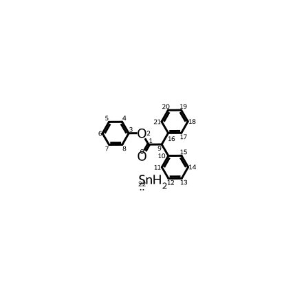 O=C(Oc1ccccc1)C(c1ccccc1)c1ccccc1.[SnH2]